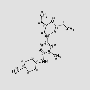 CC[C@@H]1CN(c2ccc(NC3CCC(N)CC3)c(C)n2)C[C@@H](CC)O1